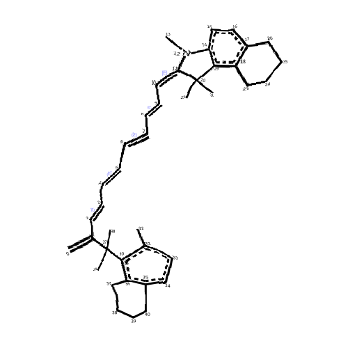 C=C(/C=C/C=C/C=C/C=C/C=C1/N(C)c2ccc3c(c2C1(C)C)CCCC3)C(C)(C)c1c(C)ccc2c1CCCC2